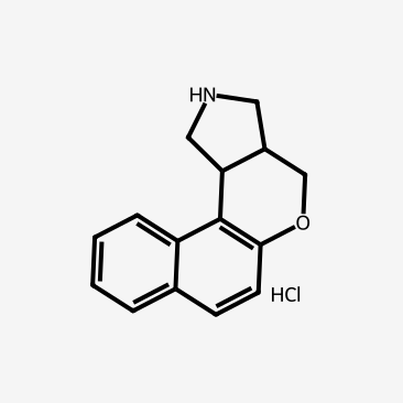 Cl.c1ccc2c3c(ccc2c1)OCC1CNCC31